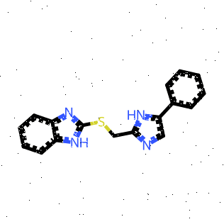 c1ccc(-c2cnc(CSc3nc4ccccc4[nH]3)[nH]2)cc1